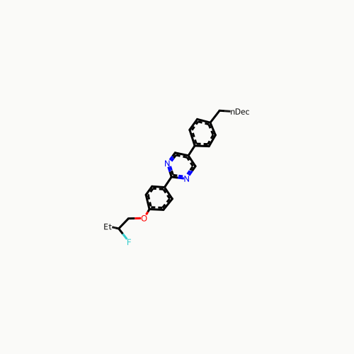 CCCCCCCCCCCc1ccc(-c2cnc(-c3ccc(OCC(F)CC)cc3)nc2)cc1